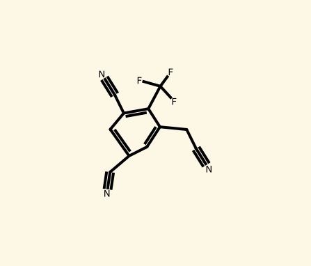 N#CCc1cc(C#N)cc(C#N)c1C(F)(F)F